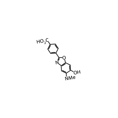 CNc1cc2nc(-c3ccc(C(=O)O)cc3)oc2cc1O